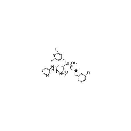 CCc1cccc(CNC[C@H](O)[C@@H](Cc2cc(F)cc(F)c2)C(CC(=O)Nc2cccnc2)C(N)=O)c1